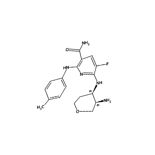 Cc1ccc(Nc2nc(N[C@@H]3CCOC[C@@H]3N)c(F)cc2C(N)=O)cc1